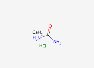 Cl.NC(N)=O.[CaH2]